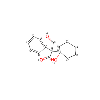 O=[C]C(C=O)(c1ccccc1)C1(O)CCCCC1